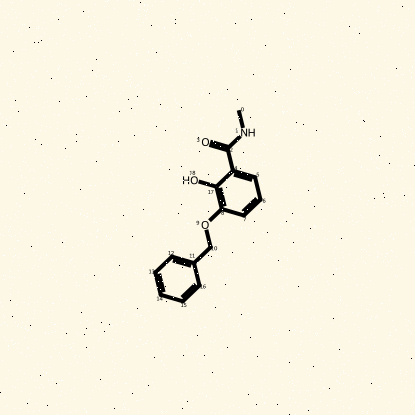 CNC(=O)c1cccc(OCc2ccccc2)c1O